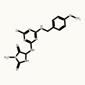 COc1ccc(CNc2nc(Cl)nc(NC3NC(=O)N(C)C3=O)n2)cc1